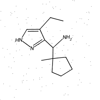 CCc1c[nH]nc1C(N)C1(C)CCCC1